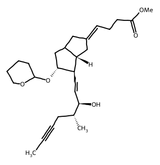 CC#CC[C@@H](C)[C@H](O)/C=C/[C@H]1[C@H](OC2CCCCO2)CC2C/C(=C/CCC(=O)OC)C[C@@H]21